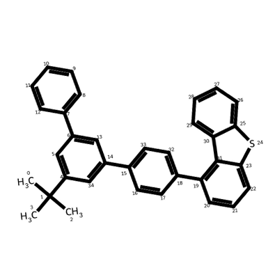 CC(C)(C)c1cc(-c2ccccc2)cc(-c2ccc(-c3cccc4sc5ccccc5c34)cc2)c1